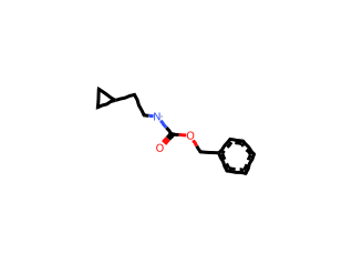 O=C([N]CCC1CC1)OCc1ccccc1